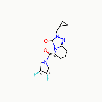 O=C([C@@H]1CCCc2nn(CC3CC3)c(=O)n21)N1C[C@@H](F)[C@@H](F)C1